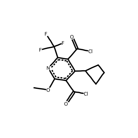 COc1nc(C(F)(F)F)c(C(=O)Cl)c(C2CCC2)c1C(=O)Cl